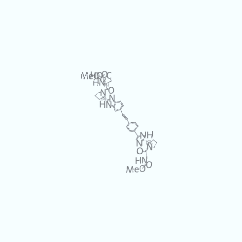 COC(=O)NCC(=O)N1CCC[C@H]1c1ncc(-c2ccc(C#Cc3ccc4nc([C@@H]5CCCN5C(=O)[C@H](CC(=O)O)NC(=O)OC)[nH]c4c3)cc2)[nH]1